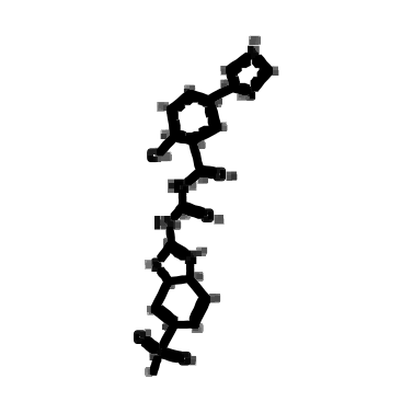 CS(=O)(=O)C1=CC2SC(NC(=O)NC(=O)c3cc(-c4cncs4)ccc3Cl)=NC2C=C1